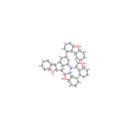 c1ccc2c(N3c4cc(-c5cccc6oc7ccccc7c56)cc5c4B(c4oc6ccccc6c4-5)c4oc5ccccc5c43)coc2c1